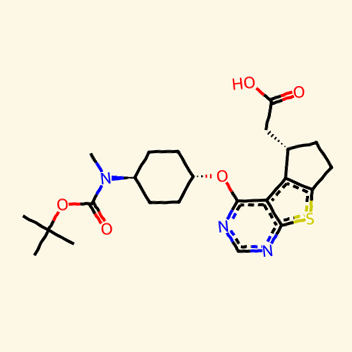 CN(C(=O)OC(C)(C)C)[C@H]1CC[C@H](Oc2ncnc3sc4c(c23)[C@H](CC(=O)O)CC4)CC1